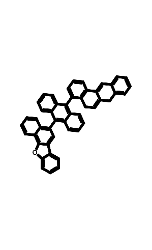 C1=C2Cc3ccccc3C=C2c2cccc(-c3c4ccccc4c(-c4cc5c6ccccc6oc5c5ccccc45)c4ccccc34)c2C1